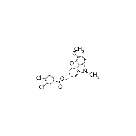 COc1ccc2c3c1OC1C[C@@H](COC(=O)c4ccc(Cl)c(Cl)c4)C=C[C@@]31CCN(C)C2